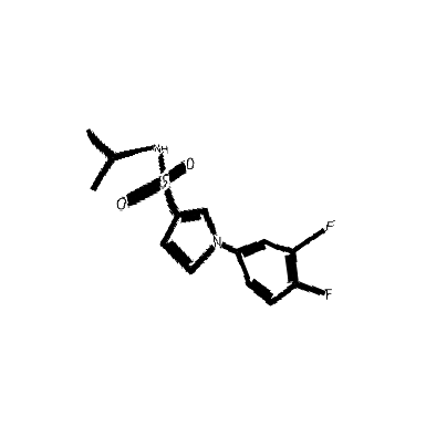 CC(C)NS(=O)(=O)c1ccn(-c2ccc(F)c(F)c2)c1